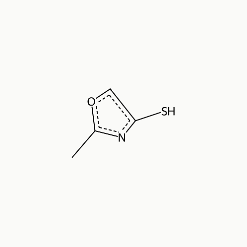 Cc1nc(S)co1